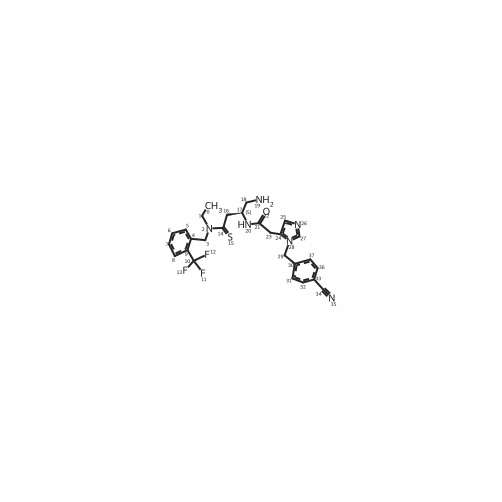 CCN(Cc1ccccc1C(F)(F)F)C(=S)C[C@@H](CN)NC(=O)Cc1cncn1Cc1ccc(C#N)cc1